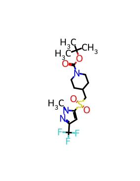 Cn1nc(C(F)(F)F)cc1S(=O)(=O)CC1CCN(C(=O)OC(C)(C)C)CC1